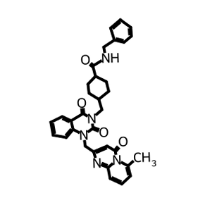 Cc1cccc2nc(Cn3c(=O)n(CC4CCC(C(=O)NCc5ccccc5)CC4)c(=O)c4ccccc43)cc(=O)n12